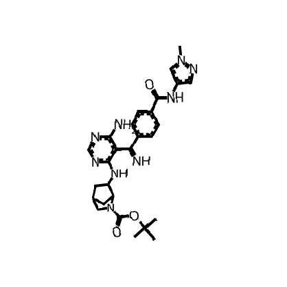 Cn1cc(NC(=O)c2ccc(C(=N)c3c(N)ncnc3NC3CC4CC3N(C(=O)OC(C)(C)C)C4)cc2)cn1